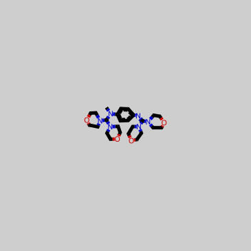 CN(c1ccc(N=C(N2CCOCC2)N2CCOCC2)cc1)C(N1CCOCC1)N1CCOCC1